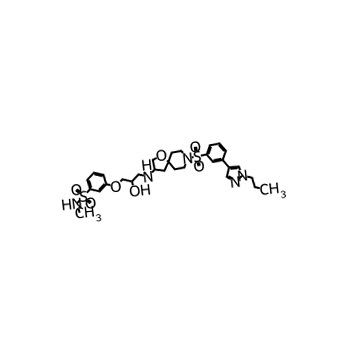 CCCn1cc(-c2cccc(S(=O)(=O)N3CCC4(CC3)CC(NCC(O)COc3cccc(S(=O)(=O)NC)c3)CO4)c2)cn1